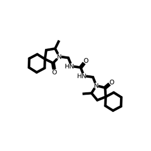 CC1CC2(CCCCC2)C(=O)N1CNC(=O)NCN1C(=O)C2(CCCCC2)CC1C